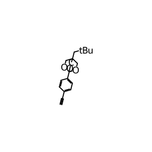 C#Cc1ccc(C23OCC(CC(C)(C)C)(CO2)CO3)cc1